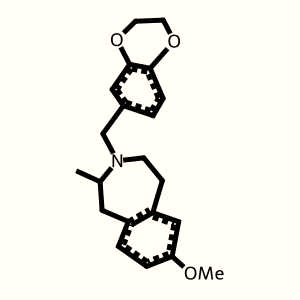 COc1ccc2c(c1)CCN(Cc1ccc3c(c1)OCCO3)C(C)C2